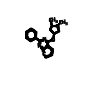 CC1CC(Oc2nc(-c3ccccc3)nc3ccccc23)CN1C